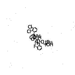 CC(C)(C)[C@](C)(O)COc1cc(C(=O)N[C@@H](CC(=O)O)c2cccc(Cl)c2Cl)nn1-c1ccccc1F